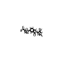 Cn1cc(Br)c(N2Cc3ccc(-c4nnc(C(F)F)o4)cc3C2=O)n1